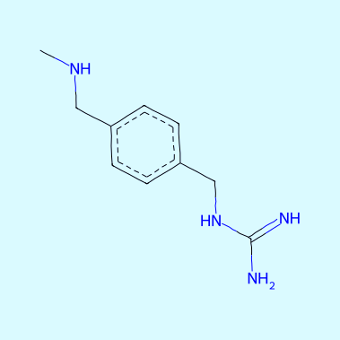 CNCc1ccc(CNC(=N)N)cc1